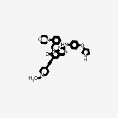 CCN1CCC(C#Cc2cc3cnc(Nc4ccc(OC5CCNC5)cc4)nc3n(Cc3ccccc3N3CCOCC3)c2=O)CC1